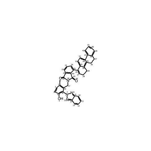 Cc1ccc(O)c(-n2nc3ccccc3n2)c1CN1C(=O)c2cccc(C3=CCCc4c3ccc3c4CCc4ccccc4-3)c2C1=O